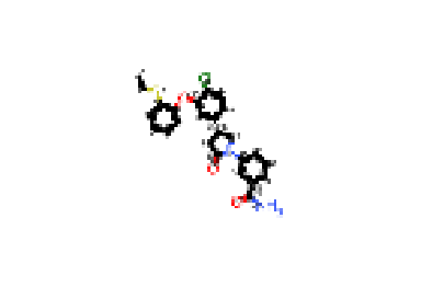 CCSc1ccccc1Oc1cc([C@H]2CC(=O)N(c3cccc(C(N)=O)c3)C2)ccc1Cl